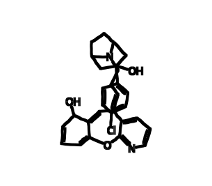 OC1C=CC=C2Oc3ncccc3C(=CCCN3C4CCC3CC(O)(c3ccc(Cl)cc3)C4)C=C21